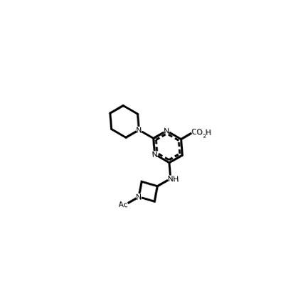 CC(=O)N1CC(Nc2cc(C(=O)O)nc(N3CCCCC3)n2)C1